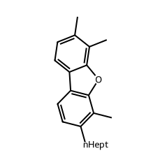 CCCCCCCc1ccc2c(oc3c(C)c(C)ccc32)c1C